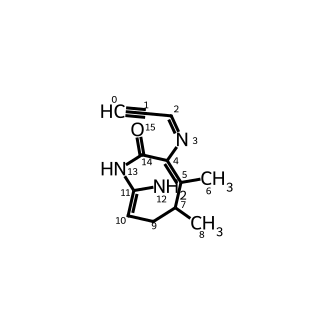 C#C/C=N\C1=C(/C)C(C)C/C=C(\N)NC1=O